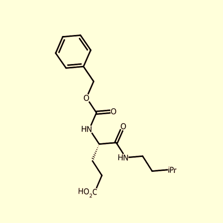 CC(C)CCNC(=O)[C@H](CCC(=O)O)NC(=O)OCc1ccccc1